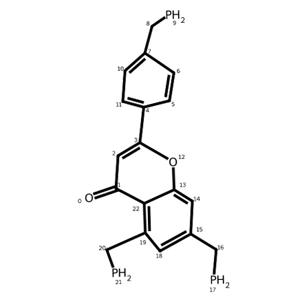 O=c1cc(-c2ccc(CP)cc2)oc2cc(CP)cc(CP)c12